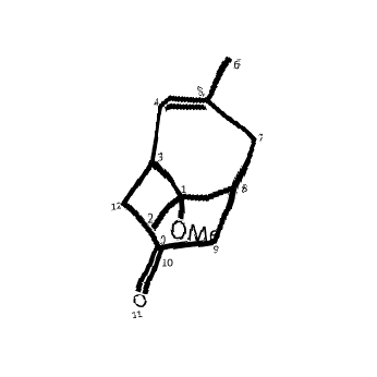 COC1(C)C2C=C(C)CC1CC(=O)C2